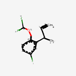 [CH2]C(C=C)c1cc(F)ccc1OC(F)F